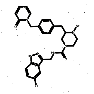 CC(=O)N1CCN(C(=O)NCc2n[nH]c3ccc(Cl)cc23)CC1Cc1ccc(Cn2ccccc2=O)cc1